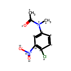 CC(=O)N(C)c1ccc(Cl)c([N+](=O)[O-])c1